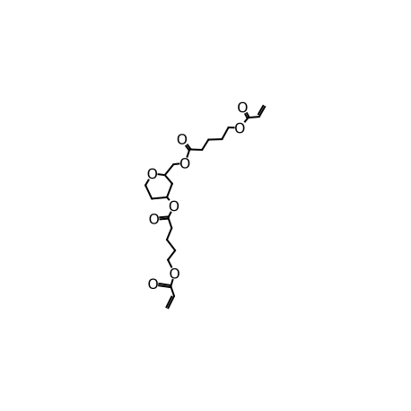 C=CC(=O)OCCCCC(=O)OCC1CC(OC(=O)CCCCOC(=O)C=C)CCO1